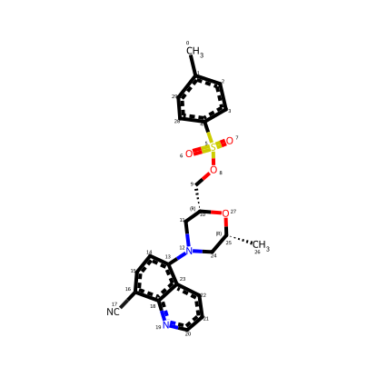 Cc1ccc(S(=O)(=O)OC[C@H]2CN(c3ccc(C#N)c4ncccc34)C[C@@H](C)O2)cc1